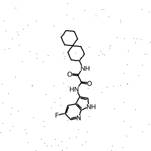 O=C(Nc1c[nH]c2ncc(F)cc12)C(=O)NC1CCC2(CCCCC2)CC1